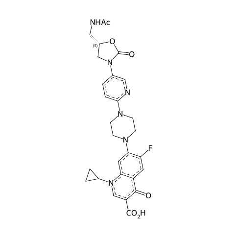 CC(=O)NC[C@H]1CN(c2ccc(N3CCN(c4cc5c(cc4F)c(=O)c(C(=O)O)cn5C4CC4)CC3)nc2)C(=O)O1